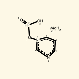 O=[PH](O)O[n+]1cccnc1.[MgH2]